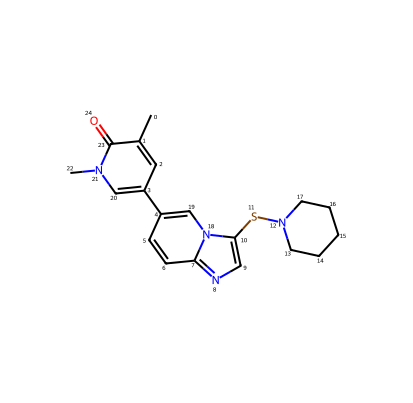 Cc1cc(-c2ccc3ncc(SN4CCCCC4)n3c2)cn(C)c1=O